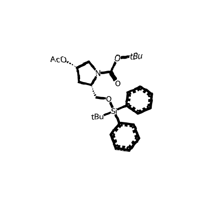 CC(=O)O[C@H]1C[C@@H](CO[Si](c2ccccc2)(c2ccccc2)C(C)(C)C)N(C(=O)OC(C)(C)C)C1